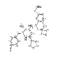 CC(C)(C)Cc1cnc2c(c1)[C@@H](NC[C@@H](O)[C@H](Cc1ccc(F)cc1)NC(=O)[C@@H]1CCCO1)CC1(CCC1)O2